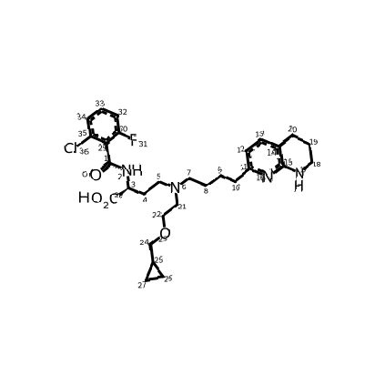 O=C(N[C@@H](CCN(CCCCc1ccc2c(n1)NCCC2)CCOCC1CC1)C(=O)O)c1c(F)cccc1Cl